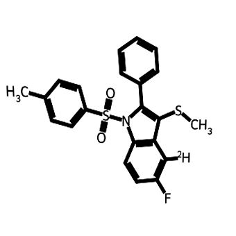 [2H]c1c(F)ccc2c1c(SC)c(-c1ccccc1)n2S(=O)(=O)c1ccc(C)cc1